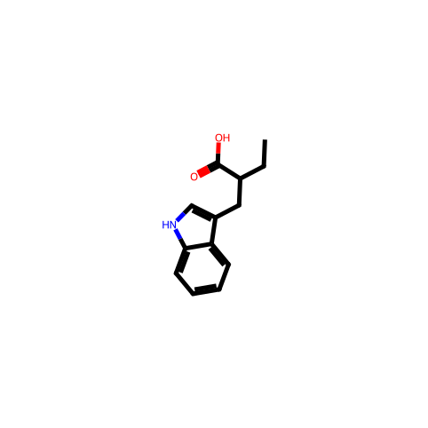 CCC(Cc1c[nH]c2ccccc12)C(=O)O